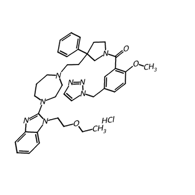 CCOCCn1c(N2CCCN(CCC3(c4ccccc4)CCN(C(=O)c4cc(Cn5ccnn5)ccc4OC)C3)CC2)nc2ccccc21.Cl